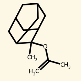 C=C(C)OC1(C)C2CC3CC(C2)CC1C3